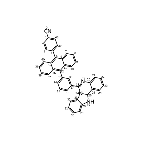 N#Cc1ccc(-c2c3ccccc3c(-c3cccc(C4=Nc5ccccc5C5Nc6ccccc6N45)c3)c3ccccc23)cc1